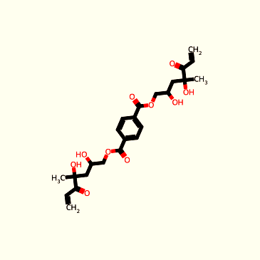 C=CC(=O)C(C)(O)CC(O)COC(=O)c1ccc(C(=O)OCC(O)CC(C)(O)C(=O)C=C)cc1